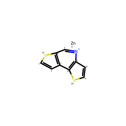 [Zn].c1cc2c(cnc3ccsc32)s1